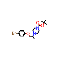 CC(COc1ccc(Br)cc1)N1CCN(C(=O)OC(C)(C)C)CC1